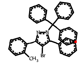 Cc1ccccc1-c1nn(C(c2ccccc2)(c2ccccc2)c2ccccc2)c(-c2ccccc2)c1Br